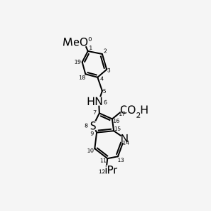 COc1ccc(CNc2sc3cc(C(C)C)cnc3c2C(=O)O)cc1